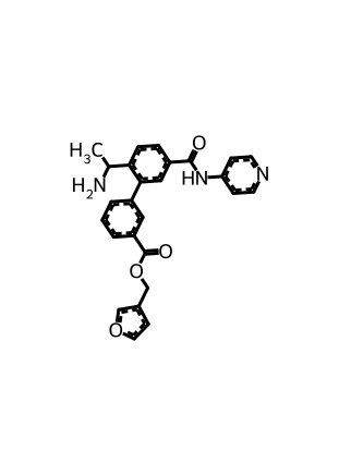 CC(N)c1ccc(C(=O)Nc2ccncc2)cc1-c1cccc(C(=O)OCc2ccoc2)c1